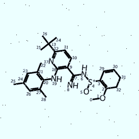 COC1=C([S+]([O-])NC(=N)c2ccc(C(C)(C)C)nc2Nc2c(C)cc(C)cc2C)C=CCC1